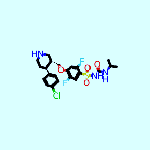 CC(C)NC(=O)NS(=O)(=O)c1cc(F)c(OC[C@H]2CNCC[C@@H]2c2ccc(Cl)cc2)cc1F